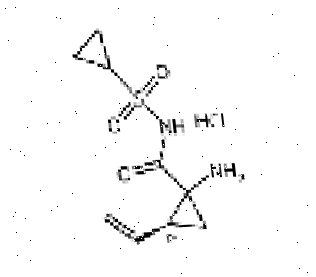 C=C[C@@H]1CC1(N)C(=O)NS(=O)(=O)C1CC1.Cl